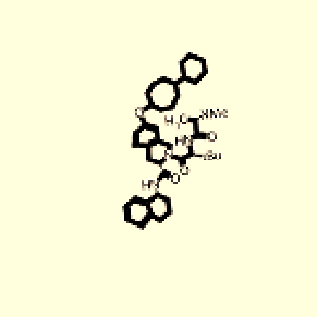 CN[C@@H](C)C(=O)N[C@H](C(=O)N1Cc2cc(OC3CCCC(C4CCCCC4)CCC3)ccc2C[C@H]1C(=O)N[C@@H]1CCCc2ccccc21)C(C)(C)C